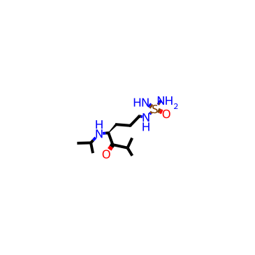 CC(C)N[C@@H](CCCNS(=N)(N)=O)C(=O)C(C)C